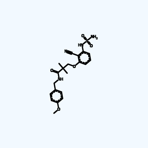 COc1ccc(CNC(=O)C(C)(C)COc2cccc(NS(N)(=O)=O)c2C#N)cc1